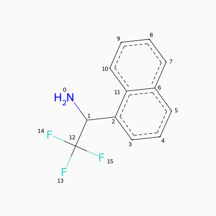 NC(c1cccc2ccccc12)C(F)(F)F